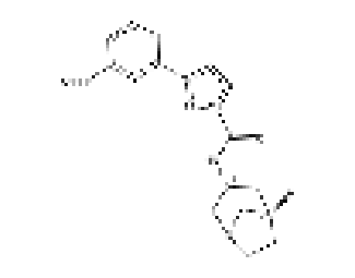 CC(=O)Nc1cccc(-c2ccc(C(=O)N[C@@H]3C[C@@H]4CCN(C4)C3)o2)c1